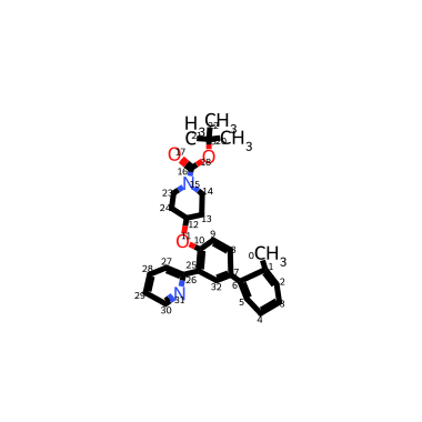 Cc1ccccc1-c1ccc(OC2CCN(C(=O)OC(C)(C)C)CC2)c(-c2ccccn2)c1